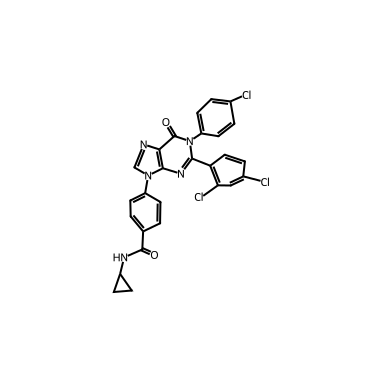 O=C(NC1CC1)c1ccc(-n2cnc3c(=O)n(-c4ccc(Cl)cc4)c(-c4ccc(Cl)cc4Cl)nc32)cc1